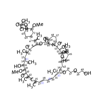 CO[C@@H]1C[C@H](C[C@@H](C)[C@@H]2CC(=O)[C@H](C)/C=C(\C)[C@@H](O)[C@@H](OC)C(=O)[C@H](C)C[C@H](C)/C=C/C=C/C=C(\C)[C@@H](OCCOCCO)C[C@@H]3CC[C@@H](C)[C@@](O)(O3)C(=O)C(=O)N3CCCC[C@H]3C(=O)O2)CC[C@H]1OP(C)(C)=O